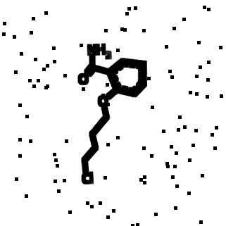 NC(=O)c1ccccc1OCCCCCl